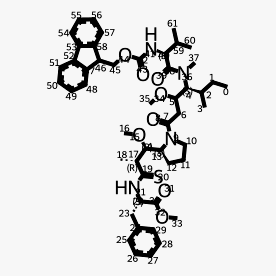 CCC(C)[C@@H](C(CC(=O)N1CCC[C@H]1[C@H](OC)[C@@H](C)C(=S)N[C@@H](Cc1ccccc1)C(=O)OC)OC)N(C)C(=O)[C@@H](NC(=O)OCC1c2ccccc2-c2ccccc21)C(C)C